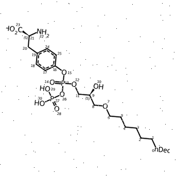 CCCCCCCCCCCCCCCCOC[C@H](O)COP(=O)(Oc1ccc(C[C@H](N)C(=O)O)cc1)OP(=O)(O)O